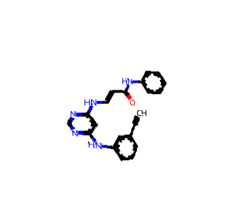 C#Cc1cccc(Nc2cc(NC=CC(=O)Nc3ccccc3)ncn2)c1